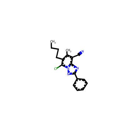 CCCCc1c(C)c(C#N)c2nc(-c3ccccc3)nn2c1Cl